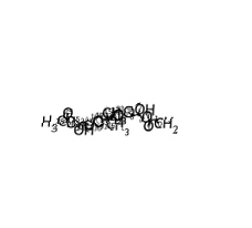 C=CC(=O)OCC(O)COc1ccc(C(C)(C)c2ccc(OCC(O)COC(C)=O)cc2)cc1